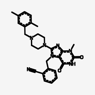 Cc1ccc(C)c(CN2CCN(c3nc4c(c(=O)[nH]c(=O)n4C)n3Cc3ccccc3C#N)CC2)c1